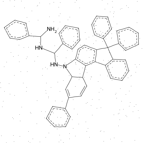 NC(NC(NN1c2ccc3c(c2C2C=CC(c4ccccc4)=CC21)-c1ccccc1C3(c1ccccc1)c1ccccc1)c1ccccc1)c1ccccc1